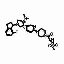 CN(C)[C@@H]1CN(C2CCc3cccc(F)c32)C[C@H]1c1ccc(N2CCN(C(=O)CNS(C)(=O)=O)CC2)nc1